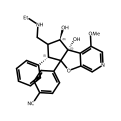 CCNCC1[C@@H](c2ccccc2)C2(c3ccc(C#N)cc3)Oc3cncc(OC)c3[C@]2(O)[C@@H]1O